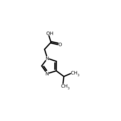 CC(C)c1cn(CC(=O)O)cn1